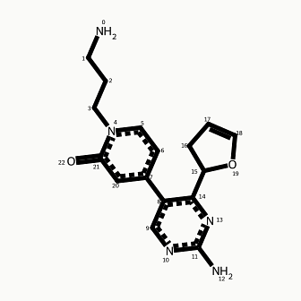 NCCCn1ccc(-c2cnc(N)nc2C2CC=CO2)cc1=O